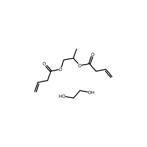 C=CCC(=O)OCC(C)OC(=O)CC=C.OCCO